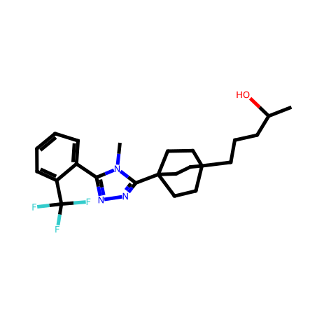 CC(O)CCCC12CCC(c3nnc(-c4ccccc4C(F)(F)F)n3C)(CC1)CC2